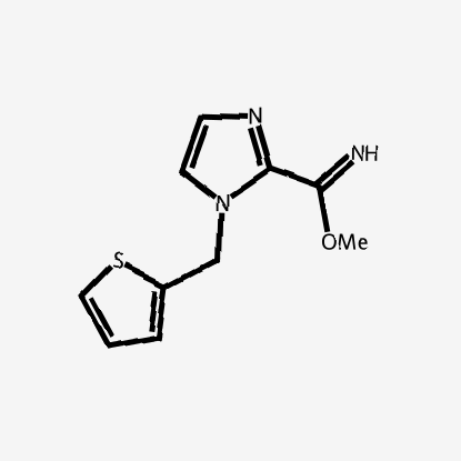 COC(=N)c1nccn1Cc1cccs1